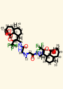 C[C@@H]1CC[C@H]2C(CNC(=O)CN(C)CC(=O)NCC3=C(C(F)(F)F)O[C@@H]4O[C@]5(C)CC[C@H]6[C@H](C)CC[C@@H]3[C@@]46OO5)=C(C(F)(F)F)O[C@@H]3O[C@]4(C)CC[C@@H]1[C@]32OO4